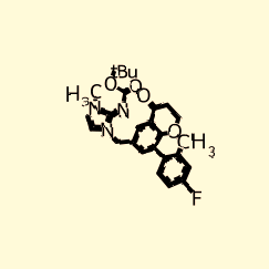 Cc1cc(F)ccc1-c1cc(Cn2ccn(C)c2=NC(=O)OC(C)(C)C)cc2c1OCCC2=O